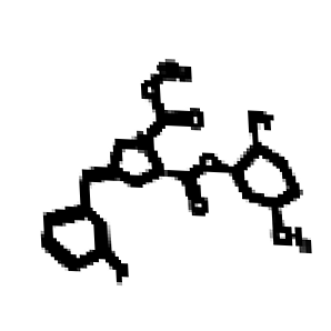 CC(C)[C@@H]1CC[C@@H](C)C[C@H]1OC(=O)[C@@H]1C/C(=C\c2cccc(F)c2)CN1C(=O)OC(C)(C)C